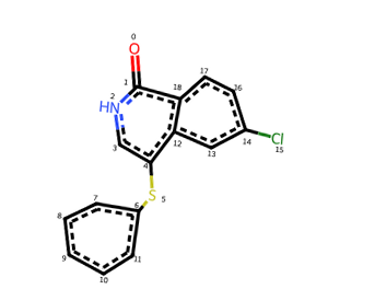 O=c1[nH]cc(Sc2ccccc2)c2cc(Cl)ccc12